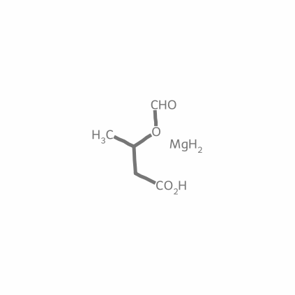 CC(CC(=O)O)OC=O.[MgH2]